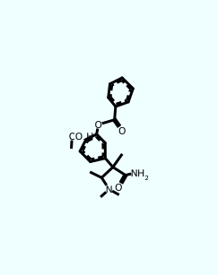 CC(=O)O.CC(N(C)C)C(C)(C(N)=O)c1cccc(OC(=O)c2ccccc2)c1